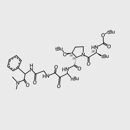 CCCCC(NC(=O)[C@@H]1[C@@H](OC(C)(C)C)CCN1C(=O)[C@@H](NC(=O)OC(C)(C)C)C(C)(C)C)C(=O)C(=O)NCC(=O)NC(C(=O)N(C)C)c1ccccc1